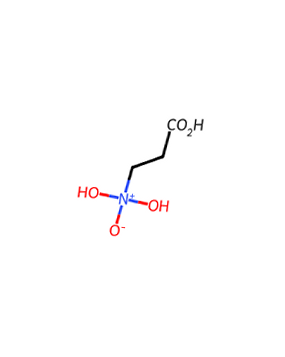 O=C(O)CC[N+]([O-])(O)O